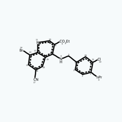 CCCc1ccc(CNc2c(C(=O)OCC)cnc3c(Br)cc(C#N)cc23)cc1Cl